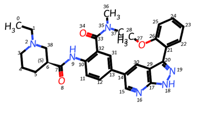 CCN1CCC[C@H](C(=O)Nc2ccc(-c3cnc4[nH]nc(-c5ccccc5OC)c4c3)cc2C(=O)N(C)C)C1